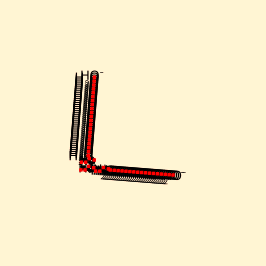 C[N+](C)(C)Cc1ccccc1.C[N+](C)(C)Cc1ccccc1.C[N+](C)(C)Cc1ccccc1.O.O.O.O.O.O.O.O.O.O.O.O.O.O.O.O.O.O.O.O.O.O.O.O.O.O.O.O.O.O.O.O.O.O.O.O.O.O.O.O.O.O.O.O.O.O.O.O.O.O.O.O.O.O.O.O.O.O.O.O.O.O.O.O.O.O.O.O.O.O.O.O.O.O.[OH-].[OH-].[OH-]